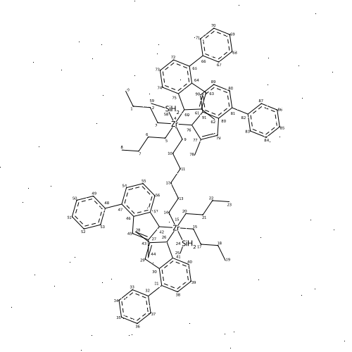 CCC[CH2][Zr]([CH2]CCC)([CH2]CCCC[CH2][Zr]([CH2]CCC)([CH2]CCC)([SiH2]C)([CH]1C(C)=Cc2c(-c3ccccc3)cccc21)[CH]1C(C)=Cc2c(-c3ccccc3)cccc21)([SiH2]C)([CH]1C(C)=Cc2c(-c3ccccc3)cccc21)[CH]1C(C)=Cc2c(-c3ccccc3)cccc21